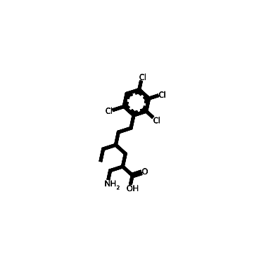 CCC(CCc1c(Cl)cc(Cl)c(Cl)c1Cl)CC(CN)C(=O)O